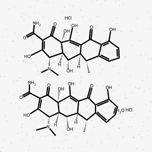 C[C@H]1c2cccc(O)c2C(=O)C2=C(O)[C@]3(O)C(=O)C(C(N)=O)=C(O)[C@@H](N(C)C)[C@@H]3[C@@H](O)[C@@H]21.C[C@H]1c2cccc(O)c2C(=O)C2=C(O)[C@]3(O)C(=O)C(C(N)=O)=C(O)[C@@H](N(C)C)[C@@H]3[C@@H](O)[C@@H]21.Cl.Cl.O